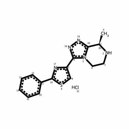 C[C@H]1NCCn2c(-c3csc(-c4ccccc4)n3)nnc21.Cl